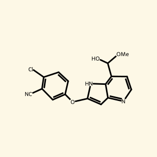 COC(O)c1ccnc2cc(Oc3ccc(Cl)c(C#N)c3)[nH]c12